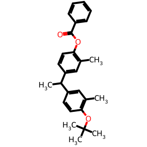 Cc1cc(C(C)c2ccc(OC(C)(C)C)c(C)c2)ccc1OC(=O)c1ccccc1